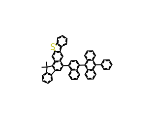 CC1(C)c2ccccc2-c2cc(-c3ccc(-c4c5ccccc5c(-c5ccccc5)c5ccccc45)c4ccccc34)c3cc4c(cc3c21)sc1ccccc14